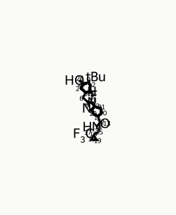 CC(C)(C)c1cc(F)c(Cc2nc3cc(C(=O)NCC4(C(F)(F)F)CC4)ccc3[nH]2)cc1O